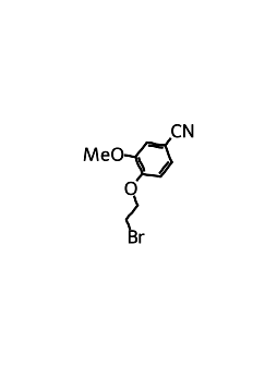 COc1cc(C#N)ccc1OCCBr